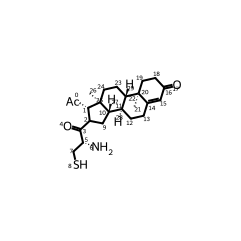 CC(=O)[C@H]1C(C(=O)[C@H](N)CS)C[C@H]2[C@@H]3CCC4=CC(=O)CC[C@]4(C)[C@H]3CC[C@]12C